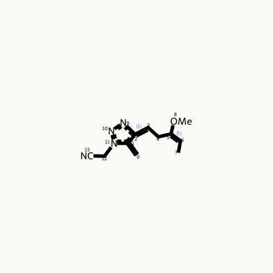 C=c1/c(=C\C/C(=C\C)OC)nnn1CC#N